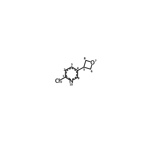 Clc1ccc(C2COC2)cn1